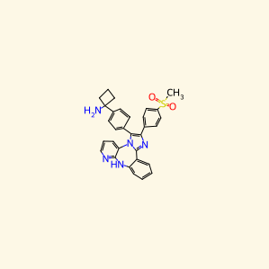 CS(=O)(=O)c1ccc(-c2nc3n(c2-c2ccc(C4(N)CCC4)cc2)-c2cccnc2Nc2ccccc2-3)cc1